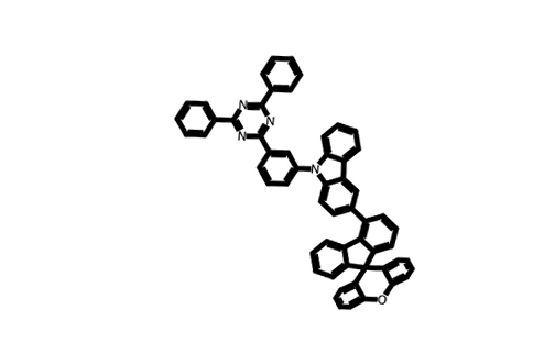 c1ccc(-c2nc(-c3ccccc3)nc(-c3cccc(-n4c5ccccc5c5cc(-c6cccc7c6-c6ccccc6C76c7ccccc7Oc7ccccc76)ccc54)c3)n2)cc1